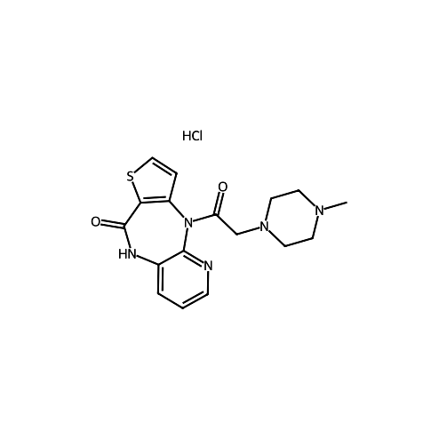 CN1CCN(CC(=O)N2c3ccsc3C(=O)Nc3cccnc32)CC1.Cl